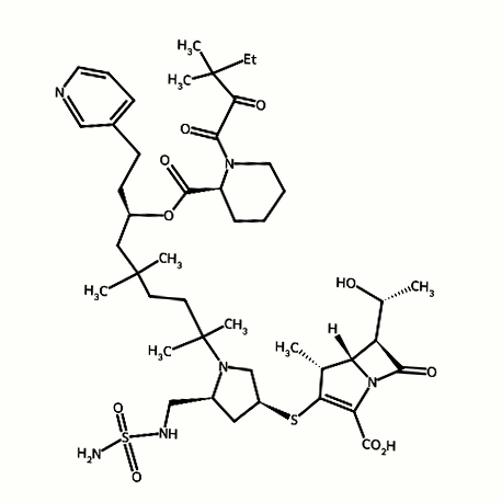 CCC(C)(C)C(=O)C(=O)N1CCCC[C@H]1C(=O)O[C@H](CCc1cccnc1)CC(C)(C)CCC(C)(C)N1C[C@@H](SC2=C(C(=O)O)N3C(=O)[C@H]([C@@H](C)O)[C@H]3[C@H]2C)C[C@H]1CNS(N)(=O)=O